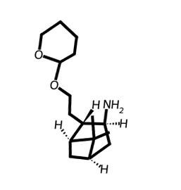 CC1(C)[C@H]2C[C@H](N)[C@@H](CCOC3CCCCO3)[C@@H]1C2